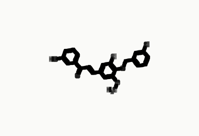 COc1cc(/C=C/C(=O)c2cccc(O)c2)cc(Cl)c1OCc1cccc(Cl)c1